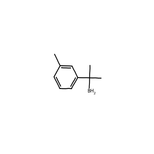 BC(C)(C)c1cccc(C)c1